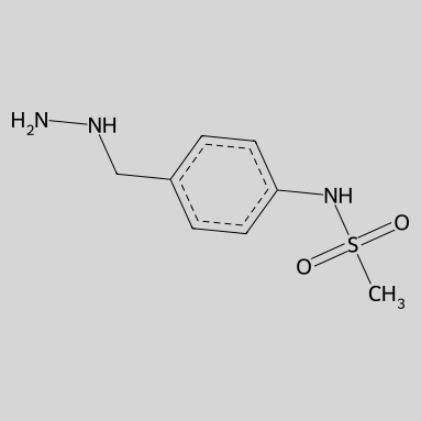 CS(=O)(=O)Nc1ccc(CNN)cc1